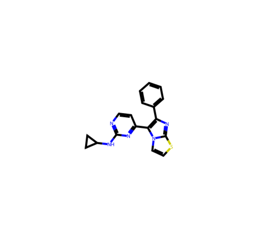 c1ccc(-c2nc3sccn3c2-c2ccnc(NC3CC3)n2)cc1